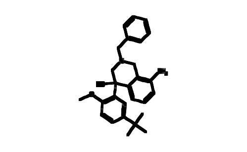 Bc1cccc2c1CN(Cc1ccccc1)CC2(O)c1cc(C(C)(C)C)ccc1OC